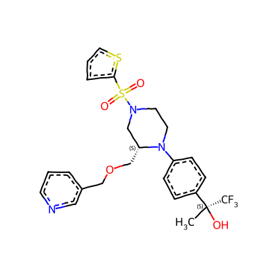 C[C@](O)(c1ccc(N2CCN(S(=O)(=O)c3cccs3)C[C@H]2COCc2cccnc2)cc1)C(F)(F)F